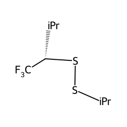 CC(C)SS[C@@H](C(C)C)C(F)(F)F